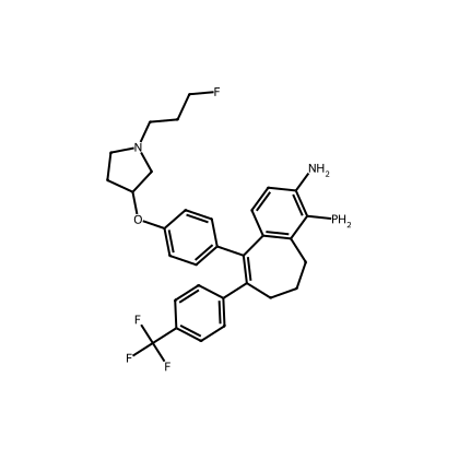 Nc1ccc2c(c1P)CCCC(c1ccc(C(F)(F)F)cc1)=C2c1ccc(OC2CCN(CCCF)C2)cc1